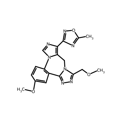 COCc1nnc2n1Cc1c(-c3noc(C)n3)ncn1-c1ccc(OC)cc1-2